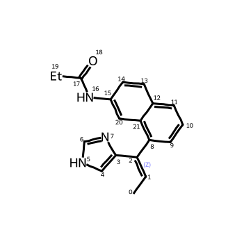 C/C=C(\c1c[nH]cn1)c1cccc2ccc(NC(=O)CC)cc12